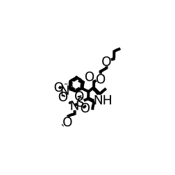 CCCOCCOC(=O)C1=C(C)NC(C)=C(S(=O)(=O)N(C)CCOC)C1c1cccc([N+](=O)[O-])c1